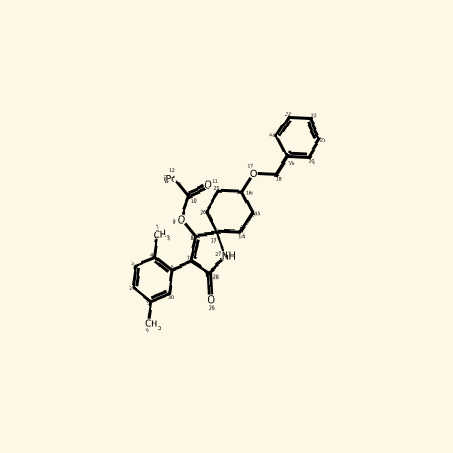 Cc1ccc(C)c(C2=C(OC(=O)C(C)C)C3(CCC(OCc4ccccc4)CC3)NC2=O)c1